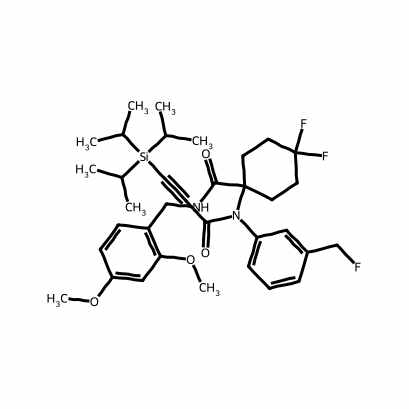 COc1ccc(CNC(=O)C2(N(C(=O)C#C[Si](C(C)C)(C(C)C)C(C)C)c3cccc(CF)c3)CCC(F)(F)CC2)c(OC)c1